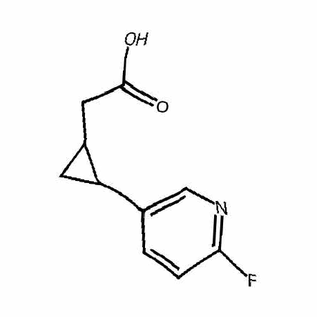 O=C(O)CC1CC1c1ccc(F)nc1